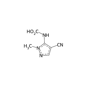 Cn1ncc(C#N)c1NC(=O)O